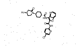 CC(=O)N1CCN([C@H]2CC[C@H](C(=O)Nc3c(C(=O)Nc4ccc(Cl)cn4)oc4cccnc34)CC2)C(=O)C1